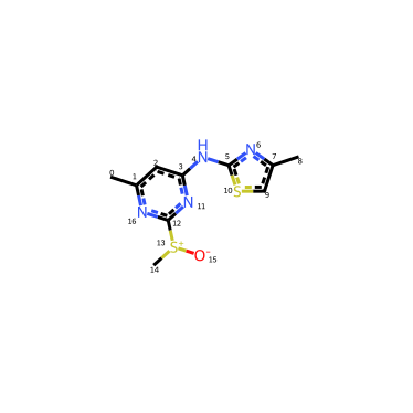 Cc1cc(Nc2nc(C)cs2)nc([S+](C)[O-])n1